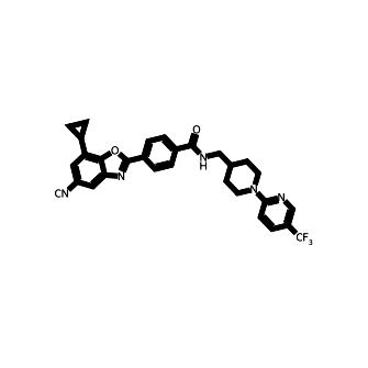 [C-]#[N+]c1cc(C2CC2)c2oc(-c3ccc(C(=O)NCC4CCN(c5ccc(C(F)(F)F)cn5)CC4)cc3)nc2c1